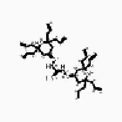 C=CCC1(CC=C)CC(=NNC(=N)NN=C2CC(CC=C)(CC=C)NC(CC=C)(CC=C)C2)CC(CC=C)(CC=C)N1